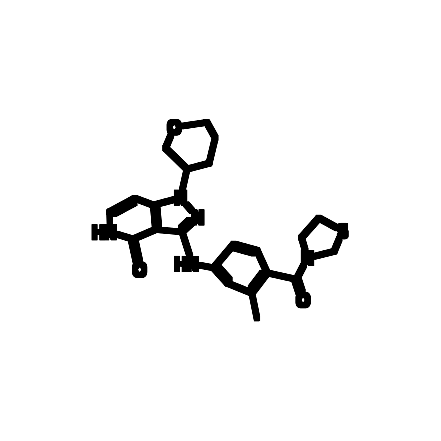 Cc1cc(Nc2nn(C3CCCOC3)c3cc[nH]c(=O)c23)ccc1C(=O)N1CCSC1